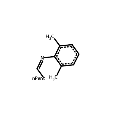 CCCCC/C=N\c1c(C)cccc1C